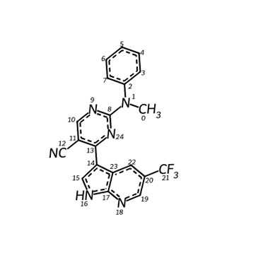 CN(c1ccccc1)c1ncc(C#N)c(-c2c[nH]c3ncc(C(F)(F)F)cc23)n1